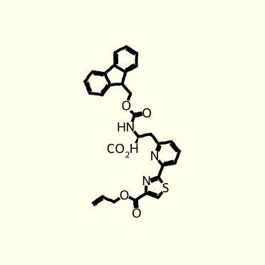 C=CCOC(=O)c1csc(-c2cccc(C[C@H](NC(=O)OCC3c4ccccc4-c4ccccc43)C(=O)O)n2)n1